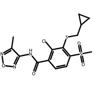 Cc1nonc1NC(=O)c1ccc(S(C)(=O)=O)c(SCC2CC2)c1Cl